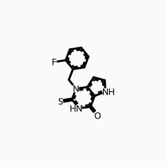 O=c1[nH]c(=S)n(Cc2ccccc2F)c2cc[nH]c12